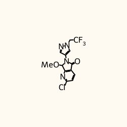 COC1c2nc(Cl)ccc2C(=O)N1c1cnn(CC(F)(F)F)c1